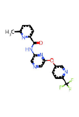 Cc1cccc(C(=O)Nc2cncc(Oc3ccc(C(F)(F)F)nc3)n2)n1